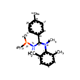 Cc1cccc(C)c1N(C)C(NP(C(C)C)C(C)C)c1ccc(C(C)(C)C)cc1